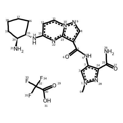 Cn1cc(NC(=O)c2cnn3ccc(N[C@H]4CCCC[C@@H]4N)nc23)c(C(N)=O)n1.O=C(O)C(F)(F)F